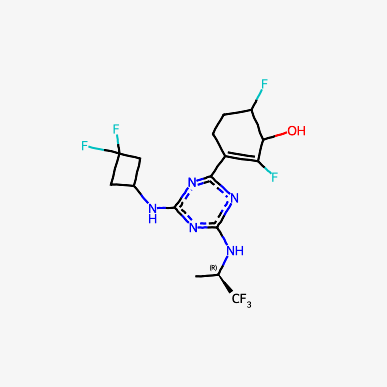 C[C@@H](Nc1nc(NC2CC(F)(F)C2)nc(C2=C(F)C(O)C(F)CC2)n1)C(F)(F)F